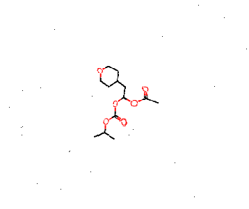 CC(=O)OC(CC1CCOCC1)OC(=O)OC(C)C